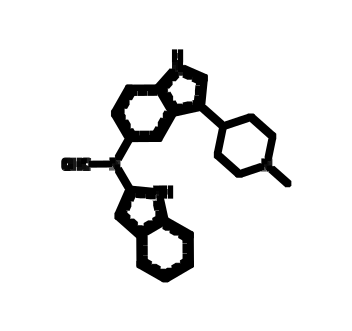 CN1CCC(c2c[nH]c3ccc(N(C=O)c4cc5ccccc5[nH]4)cc23)CC1